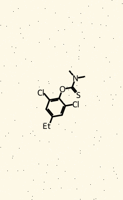 CCc1cc(Cl)c(OC(=S)N(C)C)c(Cl)c1